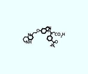 CN(C)C(=O)c1cccc([C@H](CC(=O)O)n2ncc3cc(OCCc4ccc5c(n4)CCCN5)ccc32)c1